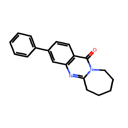 O=c1c2ccc(-c3ccccc3)cc2nc2n1CCCCC2